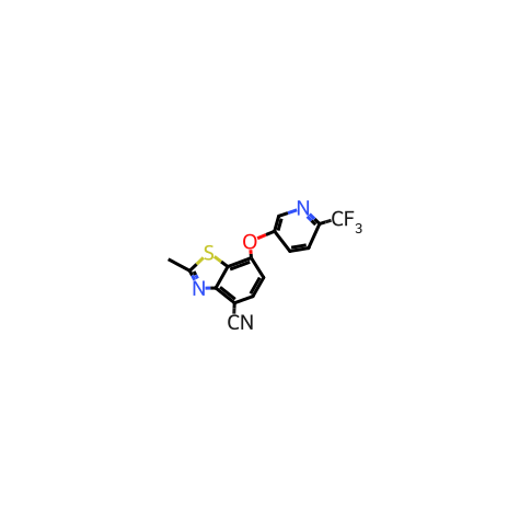 Cc1nc2c(C#N)ccc(Oc3ccc(C(F)(F)F)nc3)c2s1